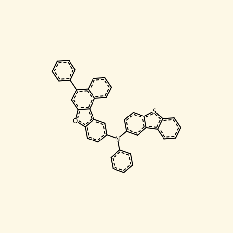 c1ccc(-c2cc3oc4ccc(N(c5ccccc5)c5ccc6sc7ccccc7c6c5)cc4c3c3ccccc23)cc1